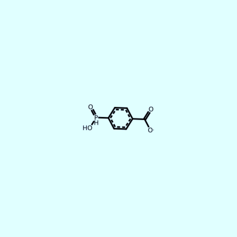 [O]C(=O)c1ccc([PH](=O)O)cc1